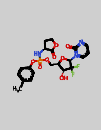 Cc1ccc(OP(=O)(N[C@H]2CCOC2=O)OC[C@H]2O[C@@H](n3cccnc3=O)C(F)(F)[C@@H]2O)cc1